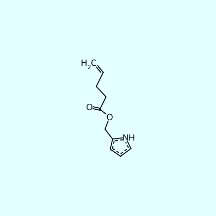 C=CCCC(=O)OCc1ccc[nH]1